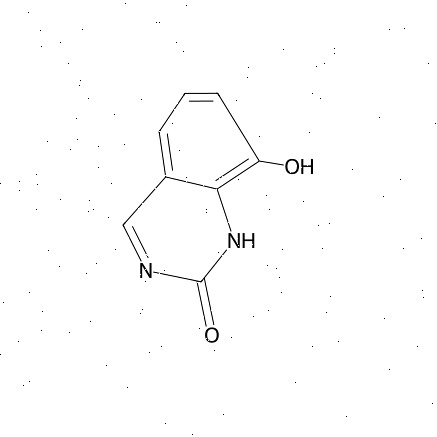 O=c1ncc2cccc(O)c2[nH]1